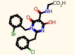 O=C(O)CNC(=O)c1c(O)nc(Cc2ccccc2Cl)n(Cc2ccccc2Br)c1=O